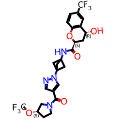 O=C(NC12CC(n3cc(C(=O)N4CC[C@H](OC(F)(F)F)C4)cn3)(C1)C2)[C@@H]1C[C@@H](O)c2cc(C(F)(F)F)ccc2O1